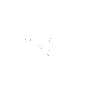 CN1CCCC1COC(=O)N1CCC(CS(=O)(=O)N2CCC(c3ccccc3)CC2)(C(=O)NO)CC1